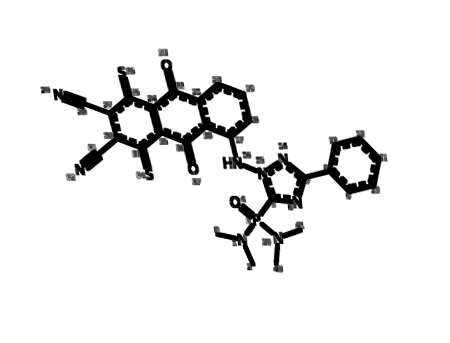 CN(C)P(=O)(c1nc(-c2ccccc2)nn1Nc1cccc2c(=O)c3c(=S)c(C#N)c(C#N)c(=S)c=3c(=O)c12)N(C)C